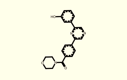 O=C(c1ccc(-c2cncc(-c3cccc(O)c3)n2)cc1)N1CCOCC1